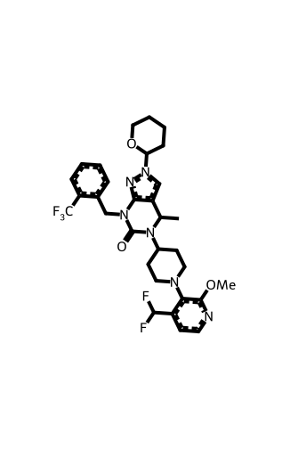 COc1nccc(C(F)F)c1N1CCC(N2C(=O)N(Cc3ccccc3C(F)(F)F)c3nn(C4CCCCO4)cc3C2C)CC1